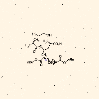 C=C(C)C(=O)OC(C)CC(=C)C(=O)O.C=CC(=O)OCCCC.CCCCOC(=O)/C=C\C(=O)O.OCCS